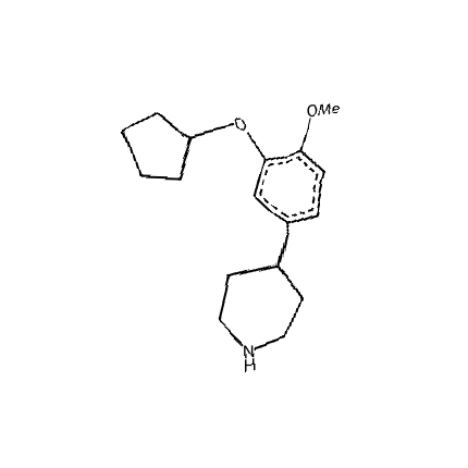 COc1ccc(C2CCNCC2)cc1OC1CCCC1